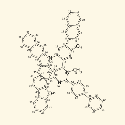 CN1C(c2cc3oc4cc5ccccc5cc4c3cc2-n2c3ccccc3c3cc4ccccc4cc32)=NC(c2cccc3c2oc2ccccc23)=NC1c1ccc(-c2ccccc2)cc1